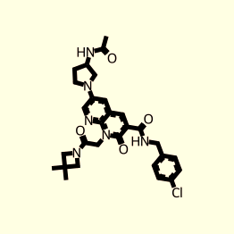 CC(=O)NC1CCN(c2cnc3c(c2)cc(C(=O)NCc2ccc(Cl)cc2)c(=O)n3CC(=O)N2CC(C)(C)C2)C1